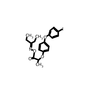 CCC(CC)=NOC(=O)C(C)Oc1ccc(Oc2ccc(I)cc2)cc1